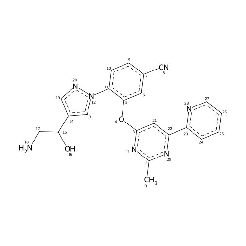 Cc1nc(Oc2cc(C#N)ccc2-n2cc(C(O)CN)cn2)cc(-c2ccccn2)n1